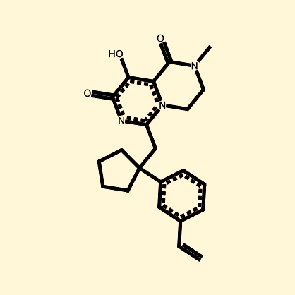 C=Cc1cccc(C2(Cc3nc(=O)c(O)c4n3CCN(C)C4=O)CCCC2)c1